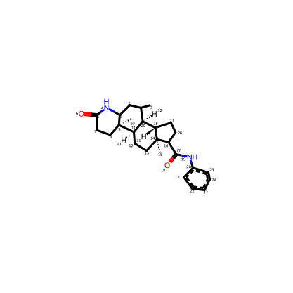 CC1CC2NC(=O)CC[C@]2(C)[C@@H]2CC[C@]3(C)C(C(=O)Nc4ccccc4)CC[C@H]3[C@H]12